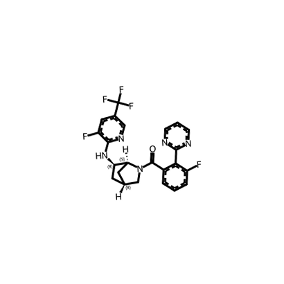 O=C(c1cccc(F)c1-c1ncccn1)N1C[C@@H]2C[C@@H](Nc3ncc(C(F)(F)F)cc3F)[C@@H]1C2